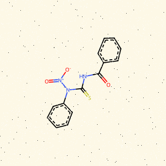 O=C(NC(=S)N(c1ccccc1)[N+](=O)[O-])c1ccccc1